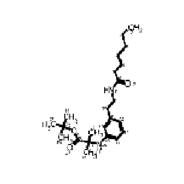 CCCCCCC(=O)NCCc1cccc(NC(C)(C)C(=O)OC(C)(C)C)c1